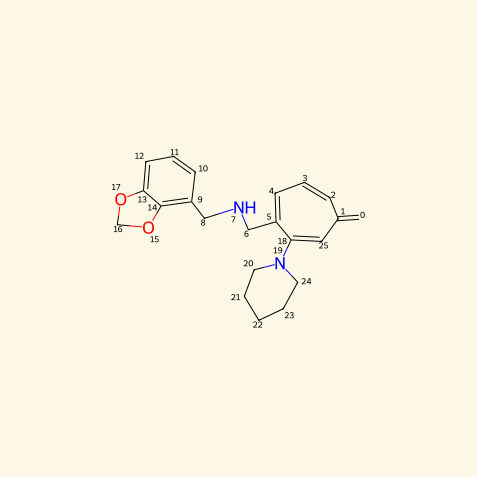 C=C1C=CC=C(CNCc2cccc3c2OCO3)C(N2CCCCC2)=C1